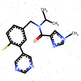 CC(C)N(Cc1ccc(F)c(-c2cncnc2)c1)C(=O)c1cn(C)cn1